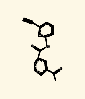 C#Cc1cccc(NC(=O)c2cccc(C(C)=O)c2)c1